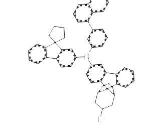 CCC1CC2CCCC(C1)C21c2ccccc2-c2cc(N(c3cccc(-c4cccc5ccccc45)c3)c3ccc4c(c3)C3(CCCC3)c3ccccc3-4)ccc21